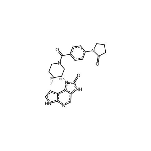 C[C@@H]1CCN(C(=O)c2ccc(N3CCCC3=O)cc2)C[C@@H]1n1c(=O)[nH]c2cnc3[nH]ccc3c21